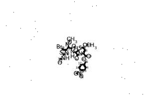 CO/N=C(\C(=O)NC1C(=O)N2C(C(=O)OCc3ccc([N+](=O)[O-])cc3)=CC(OC)S[C@H]12)c1nc(NC=O)sc1Br